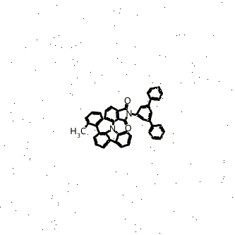 Cc1ccccc1-c1cccc2c3ccccc3n(-c3cccc4c3C(=O)N(c3cc(-c5ccccc5)cc(-c5ccccc5)c3)C4=O)c12